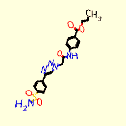 CCCOC(=O)c1ccc(NC(=O)Cn2cc(-c3ccc(S(N)(=O)=O)cc3)nn2)cc1